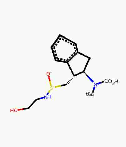 CC(C)(C)N(C(=O)O)[C@@H]1Cc2ccccc2[C@H]1C[S+]([O-])NCCO